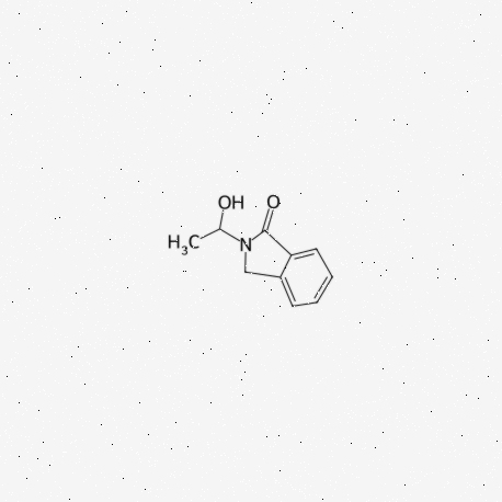 CC(O)N1Cc2ccccc2C1=O